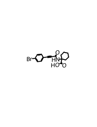 O=C(C#Cc1ccc(Br)cc1)NC1(C(=O)O)CCCCC1